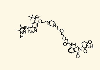 Cc1[nH]nc(Nc2ncnc3cc(OCCN4CCN(CCOCCOCC(=O)Nc5cccc(C=O)c5CN(C)C5CCC(=O)NC5=O)CC4)c([S+]([O-])C(C)(C)C)cc23)c1C